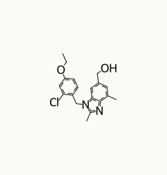 CCOc1ccc(Cn2c(C)nc3c(C)cc(CO)cc32)c(Cl)c1